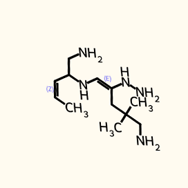 C/C=C\C(CN)N/C=C(\CC(C)(C)CN)NN